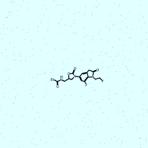 CCC(=O)NCC1CN(c2cc(F)c3c(c2)CC(=O)N3CCF)C(=O)O1